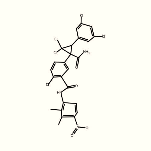 Cc1c(NC(=O)c2cc(C3(C(N)=O)C(c4cc(Cl)cc(Cl)c4)C3(Cl)Cl)ccc2Cl)ccc([N+](=O)[O-])c1C